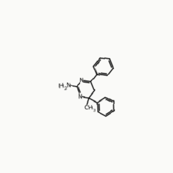 CC1(c2ccccc2)CC(c2ccccc2)=NC(N)=N1